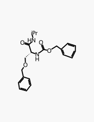 CC(C)NC(=O)[C@@H](COCc1ccccc1)NC(=O)OCc1ccccc1